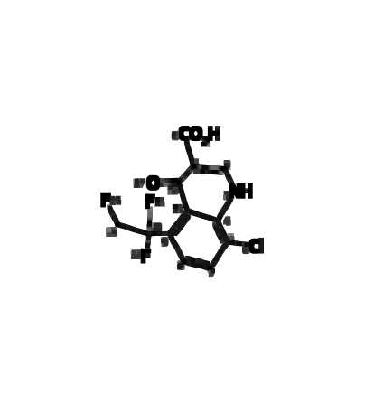 O=C(O)c1c[nH]c2c(Cl)ccc(C(F)(F)CF)c2c1=O